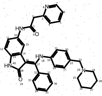 O=C(Cc1ccccn1)Nc1ccc2c(c1)C(=C(Nc1ccc(CN3CCCCC3)cc1)c1ccccc1)C(=O)N2